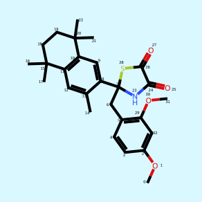 COc1ccc(CC2(c3cc4c(cc3C)C(C)(C)CCC4(C)C)NC(=O)C(=O)S2)c(OC)c1